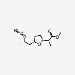 COC(=O)[C@@H](C)[C@@H]1CC[C@H](C[C@H](C)N=[N+]=[N-])O1